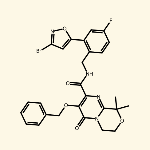 CC1(C)OCCn2c1nc(C(=O)NCc1ccc(F)cc1-c1cc(Br)no1)c(OCc1ccccc1)c2=O